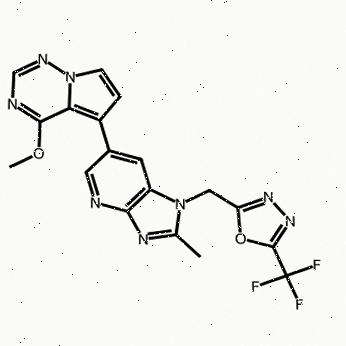 COc1ncnn2ccc(-c3cnc4nc(C)n(Cc5nnc(C(F)(F)F)o5)c4c3)c12